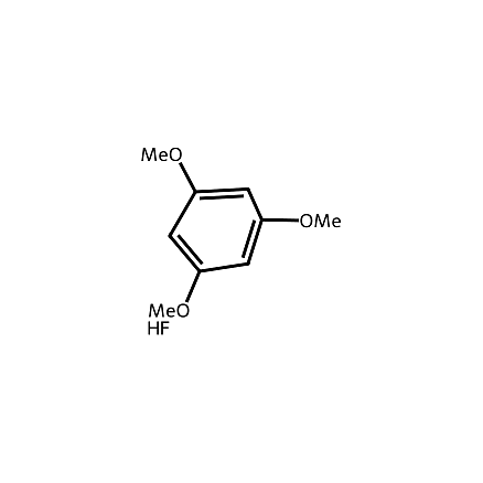 COc1cc(OC)cc(OC)c1.F